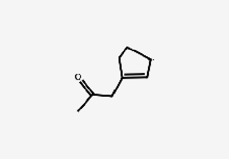 CC(=O)CC1=C[CH]CC1